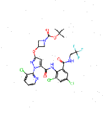 CC(C)(C)OC(=O)N1CC(Oc2cc(C(=O)Nc3c(Cl)cc(Cl)cc3C(=O)NCC(F)(F)F)n(-c3ncccc3Cl)n2)C1